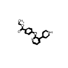 CCOC(=O)c1ccc(Oc2ncccc2C2CCNCC2)cc1